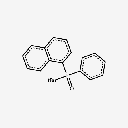 CC(C)(C)P(=O)(c1ccccc1)c1cccc2ccccc12